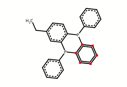 CCc1ccc(P(c2ccccc2)c2ccccc2)c(P(c2ccccc2)c2ccccc2)c1